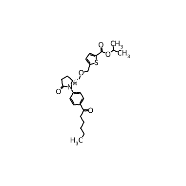 CCCCCC(=O)c1ccc(N2C(=O)CC[C@@H]2COCc2ccc(C(=O)OC(C)C)s2)cc1